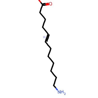 NCCCCCC/C=C/CCCC(=O)O